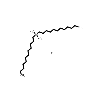 CCCCCCCCCCCC[N+](C)(C)CCCCCCCCCCCC.[F-]